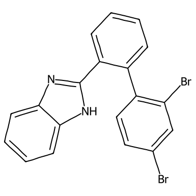 Brc1ccc(-c2ccccc2-c2nc3ccccc3[nH]2)c(Br)c1